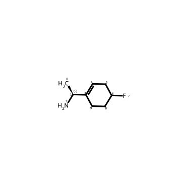 C[C@H](N)C1=CCC(F)CC1